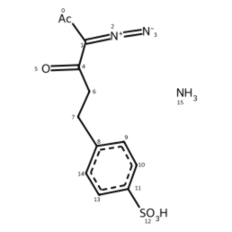 CC(=O)C(=[N+]=[N-])C(=O)CCc1ccc(S(=O)(=O)O)cc1.N